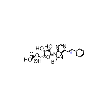 O=P(O)(O)OC[C@H]1O[C@@H](n2c(Br)nc3c(/C=C/c4ccccc4)ncnc32)[C@H](O)[C@@H]1O